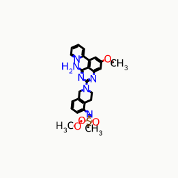 COOS(C)(=O)=Nc1cccc2c1CCN(c1nc(N)c3c(-c4ccccn4)cc(OC)cc3n1)C2